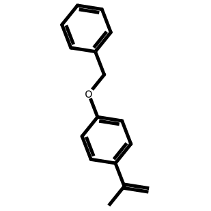 C=C(C)c1ccc(OCc2ccccc2)cc1